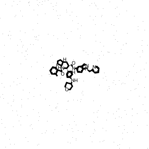 Cc1cccc(F)c1C(=O)N1[C@@H]2CCC[C@@H]2C[C@H](C(=O)Nc2ccc3c(cnn3Cc3ccccn3)c2)[C@@H]1c1ccc(NC2CCOCC2)cc1